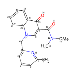 Bc1cccc(Cn2cc(C(=O)N(C)OC)c(=O)c3ccccc32)n1